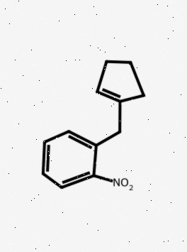 O=[N+]([O-])c1ccccc1CC1=CCCC1